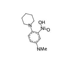 CNc1ccc(N2CCCCC2)c([N+](=O)O)c1